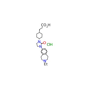 CCN1CCc2ccc(N3CCN([C@H]4CC[C@H](CCC(=O)O)CC4)C3=O)cc2CC1.Cl